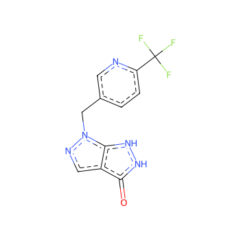 O=c1[nH][nH]c2c1cnn2Cc1ccc(C(F)(F)F)nc1